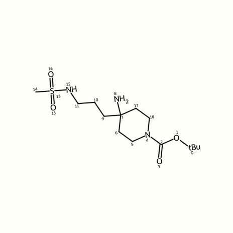 CC(C)(C)OC(=O)N1CCC(N)(CCCNS(C)(=O)=O)CC1